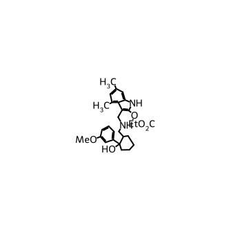 CCOC(=O)Oc1[nH]c2cc(C)cc(C)c2c1CNCC1CCCCC1(O)c1cccc(OC)c1